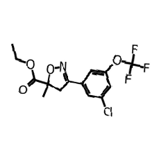 CCOC(=O)C1(C)CC(c2cc(Cl)cc(OC(F)(F)F)c2)=NO1